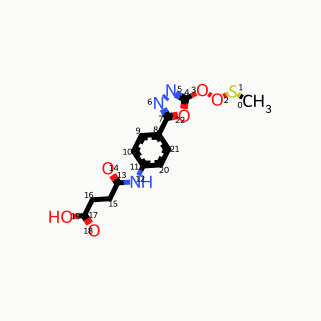 CSOOc1nnc(-c2ccc(NC(=O)CCC(=O)O)cc2)o1